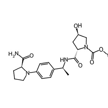 C[C@H](NC(=O)[C@@H]1C[C@@H](O)CN1C(=O)OC(C)(C)C)c1ccc(N2CCC[C@H]2C(N)=O)cc1